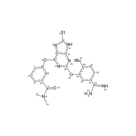 CCc1nc2c(Oc3cccc(C(=O)N(C)C)c3)nc(Oc3cc(C(=N)N)ccc3C(C)(C)C)nc2[nH]1